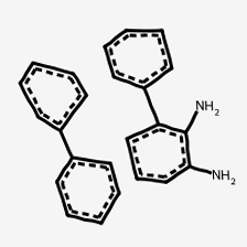 Nc1cccc(-c2ccccc2)c1N.c1ccc(-c2ccccc2)cc1